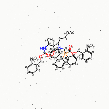 CC(=O)OCCC1C(C(C)NC(=O)OCc2ccccc2[N+](=O)[O-])C(=O)N1CP(C(=O)OCc1ccccc1[N+](=O)[O-])(c1ccccc1)(c1ccccc1)c1ccccc1